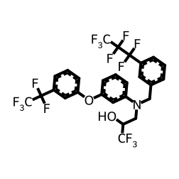 OC(CN(Cc1cccc(C(F)(F)C(F)(F)C(F)(F)F)c1)c1cccc(Oc2cccc(C(F)(F)C(F)(F)F)c2)c1)C(F)(F)F